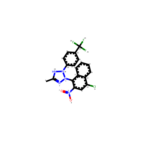 CC1=NN(c2c([N+](=O)[O-])cc(Cl)c3ccccc23)N(c2ccc(C(F)(F)F)cc2)N1